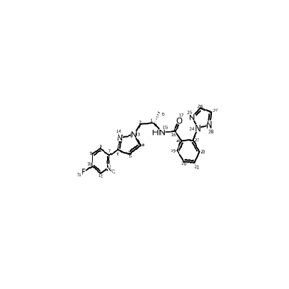 C[C@@H](Cn1ccc(-c2ccc(F)cn2)n1)NC(=O)c1ccccc1-n1nccn1